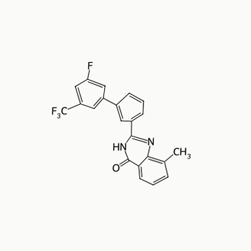 Cc1cccc2c(=O)[nH]c(-c3cccc(-c4cc(F)cc(C(F)(F)F)c4)c3)nc12